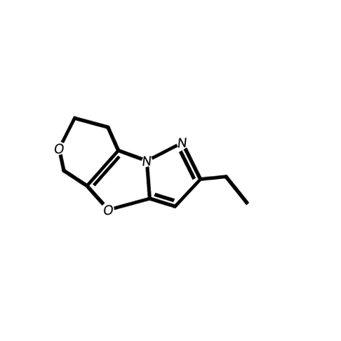 CCc1cc2oc3c(n2n1)CCOC3